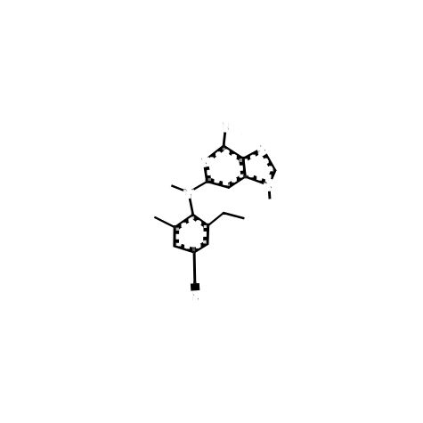 CCc1cc(C#N)cc(F)c1N(C)c1cc2c(ncn2C)c(N)n1